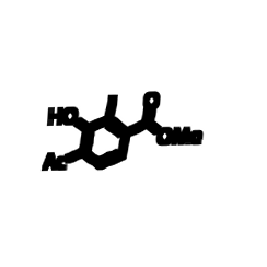 COC(=O)c1ccc(C(C)=O)c(O)c1C